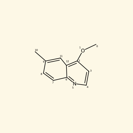 COc1ccnc2ccc(C)cc12